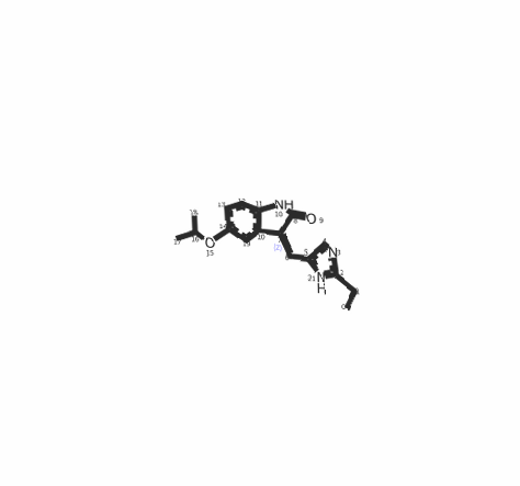 CCc1ncc(/C=C2\C(=O)Nc3ccc(OC(C)C)cc32)[nH]1